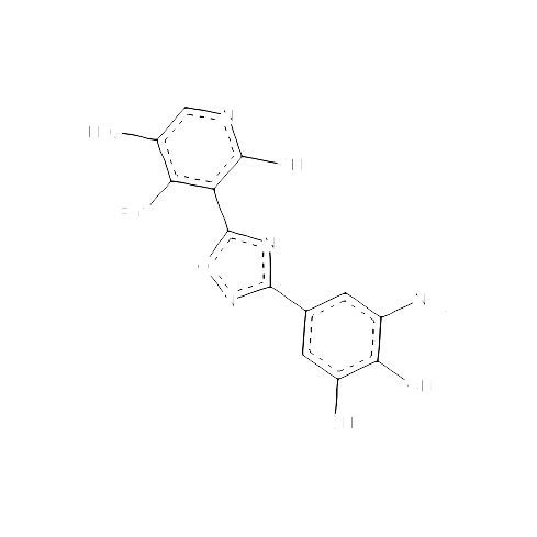 Cc1cnc(C)c(-c2nc(-c3cc(O)c(O)c([N+](=O)[O-])c3)no2)c1C(F)(F)F